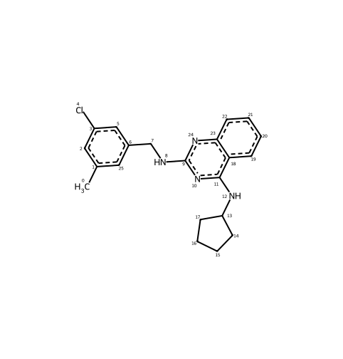 Cc1cc(Cl)cc(CNc2nc(NC3CCCC3)c3ccccc3n2)c1